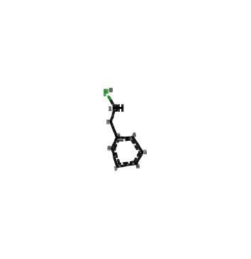 FBCc1ccccc1